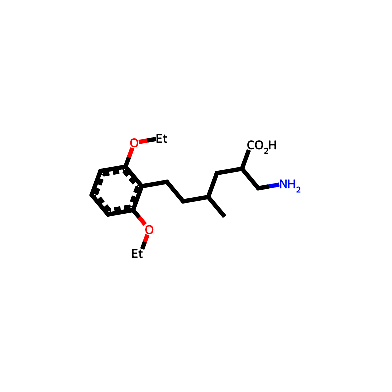 CCOc1cccc(OCC)c1CCC(C)CC(CN)C(=O)O